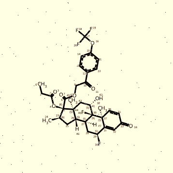 CCC(=O)O[C@]1(C(=O)OCC(=O)c2ccc(OC(F)(F)F)cc2)[C@H](C)C[C@H]2[C@@H]3C[C@H](F)C4=CC(=O)C=C[C@]4(C)[C@@]3(F)[C@@H](O)C[C@@]21C